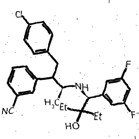 CCC(O)(CC)[C@@H](N[C@@H](C)C(Cc1ccc(Cl)cc1)c1cccc(C#N)c1)c1cc(F)cc(F)c1